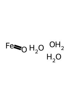 O.O.O.[O]=[Fe]